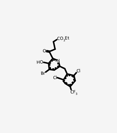 CCOC(=O)CCC(=O)c1nc(Cc2c(Cl)cc(C(F)(F)F)cc2Cl)cc(Br)c1O